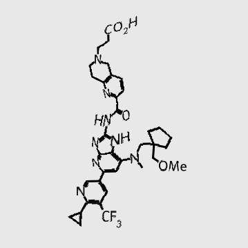 COCC1(CN(C)c2cc(-c3cnc(C4CC4)c(C(F)(F)F)c3)nc3nc(NC(=O)c4ccc5c(n4)CCN(CCC(=O)O)C5)[nH]c23)CCCC1